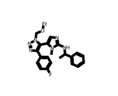 CCOCn1nnc(-c2ccc(F)cc2)c1-c1cnc(NC(C)c2ccccc2)n1C